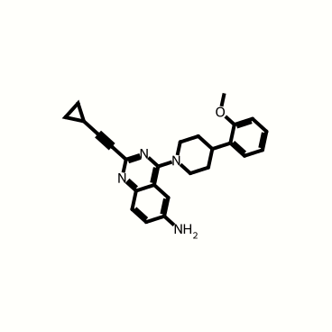 COc1ccccc1C1CCN(c2nc(C#CC3CC3)nc3ccc(N)cc23)CC1